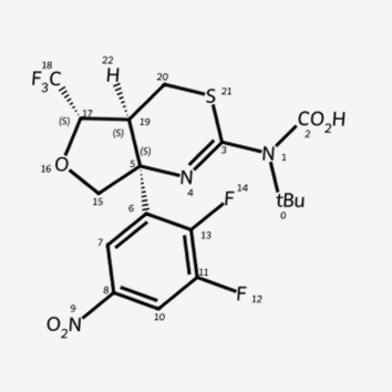 CC(C)(C)N(C(=O)O)C1=N[C@@]2(c3cc([N+](=O)[O-])cc(F)c3F)CO[C@H](C(F)(F)F)[C@H]2CS1